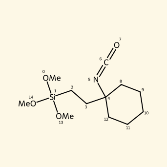 CO[Si](CCC1(N=C=O)CCCCC1)(OC)OC